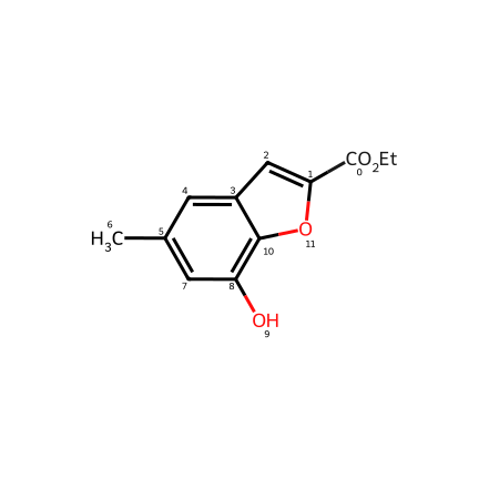 CCOC(=O)c1cc2cc(C)cc(O)c2o1